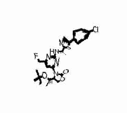 C[C@H](Nc1nc(CF)cc(N2C(=O)OCC2[C@@H](C)OC(C)(C)C)n1)c1ncc(-c2ccc(Cl)cc2)s1